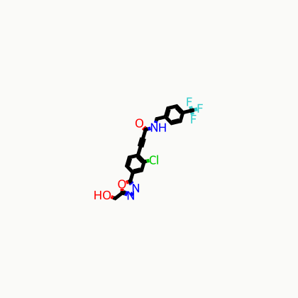 O=C(C#Cc1ccc(-c2nnc(CO)o2)cc1Cl)NCc1ccc(C(F)(F)F)cc1